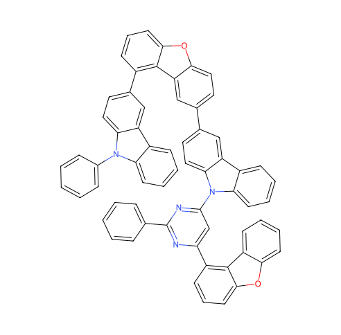 c1ccc(-c2nc(-c3cccc4oc5ccccc5c34)cc(-n3c4ccccc4c4cc(-c5ccc6oc7cccc(-c8ccc9c(c8)c8ccccc8n9-c8ccccc8)c7c6c5)ccc43)n2)cc1